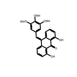 COc1cc(C=C2c3cccc(O)c3C(=O)c3c(O)cccc32)cc(OC)c1OC